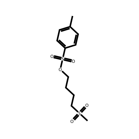 Cc1ccc(S(=O)(=O)OCCCCS(C)(=O)=O)cc1